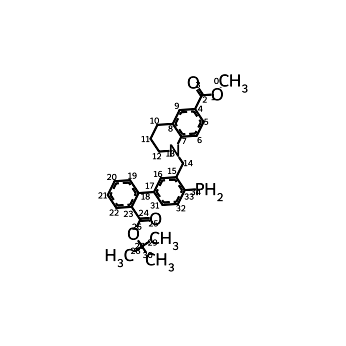 COC(=O)c1ccc2c(c1)CCCN2Cc1cc(-c2ccccc2C(=O)OC(C)(C)C)ccc1P